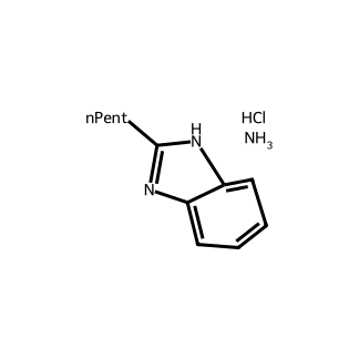 CCCCCc1nc2ccccc2[nH]1.Cl.N